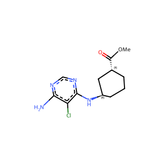 COC(=O)[C@@H]1CCC[C@@H](Nc2ncnc(N)c2Cl)C1